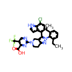 CCc1cccc(CC)c1-n1nc2c(c1-c1ccc(Cl)c3[nH]ccc13)CN(c1ncc(C(F)(F)F)c(C(=O)O)n1)CC2